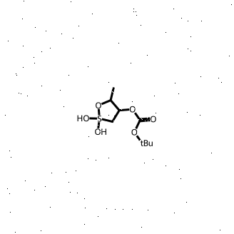 CC1OS(O)(O)CC1OC(=O)OC(C)(C)C